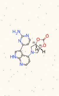 Nc1nccc(-c2c[nH]c3nccc(N4C[C@@H]5OC(=O)O[C@@H]5C4)c23)n1